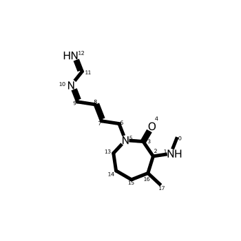 CNC1C(=O)N(C/C=C/C=N\C=N)CCCC1C